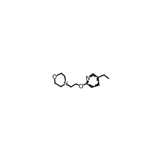 CCc1ccc(OCCN2CCOCC2)nc1